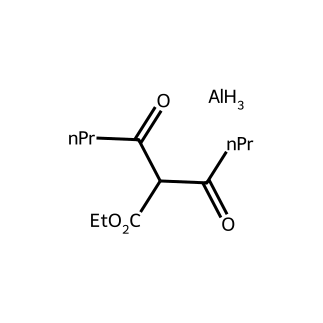 CCCC(=O)C(C(=O)CCC)C(=O)OCC.[AlH3]